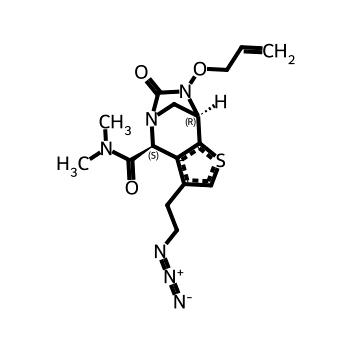 C=CCON1C(=O)N2C[C@@H]1c1scc(CCN=[N+]=[N-])c1[C@H]2C(=O)N(C)C